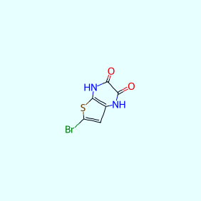 O=c1[nH]c2cc(Br)sc2[nH]c1=O